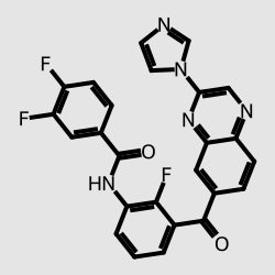 O=C(Nc1cccc(C(=O)c2ccc3ncc(-n4ccnc4)nc3c2)c1F)c1ccc(F)c(F)c1